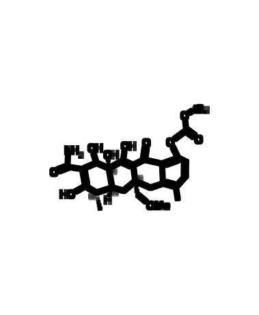 COC[C@@]12Cc3c(C)ccc(OC(=O)OC(C)(C)C)c3C(=O)C1=C(O)[C@]1(O)C(O)C(C(N)=O)=C(O)[C@@H](C)[C@@H]1C2